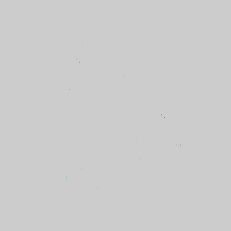 COc1nc2ccc(C(C)c3cnc(C)n3C)cc2cc1Cc1ccc(F)cc1